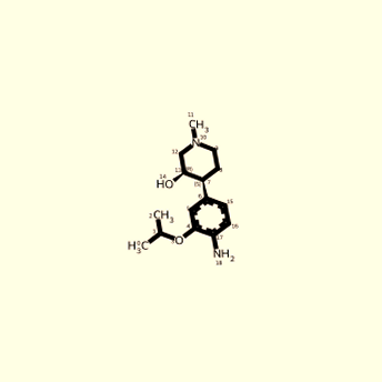 CC(C)Oc1cc([C@@H]2CCN(C)C[C@@H]2O)ccc1N